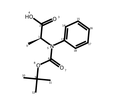 C[C@@H](C(=O)O)N(C(=O)OC(C)(C)C)c1ccccc1